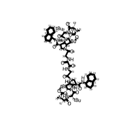 C[C@@H](C(=O)N[C@H](C(=O)N1CC[C@@H]2[C@H]1[C@@H](C(=O)Nc1cccc3ccccc13)CN2C(=O)CNC(=O)C(=O)NCC(=O)N1C[C@H](C(=O)Nc2cccc3ccccc23)[C@@H]2C1CCN2C(=O)[C@@H](NC(=O)[C@H](C)N(C)C(=O)OC(C)(C)C)C(C)(C)C)C(C)(C)C)N(C)C(=O)OC(C)(C)C